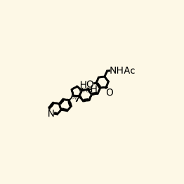 CC(=O)NCC1CC(=O)C2=C(C1)O[C@@H]1C(=C2)C=C[C@]2(C)[C@@H](c3ccc4cnccc4c3)CC[C@@H]12